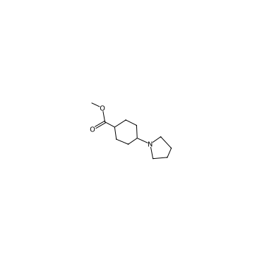 COC(=O)C1CCC(N2CCCC2)CC1